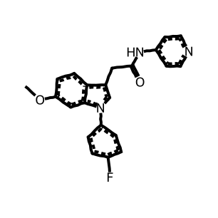 COc1ccc2c(CC(=O)Nc3ccncc3)cn(-c3ccc(F)cc3)c2c1